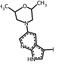 CC1CN(c2cnc3[nH]cc(I)c3c2)CC(C)O1